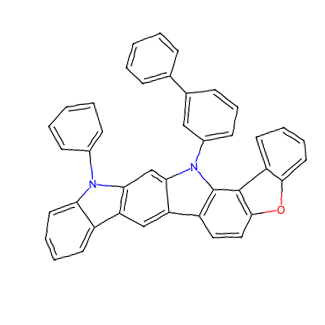 c1ccc(-c2cccc(-n3c4cc5c(cc4c4ccc6oc7ccccc7c6c43)c3ccccc3n5-c3ccccc3)c2)cc1